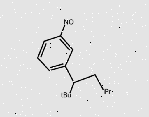 CC(C)CC(c1cccc(N=O)c1)C(C)(C)C